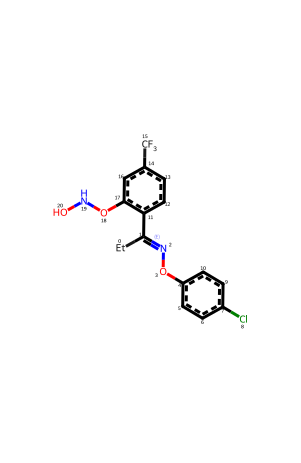 CC/C(=N\Oc1ccc(Cl)cc1)c1ccc(C(F)(F)F)cc1ONO